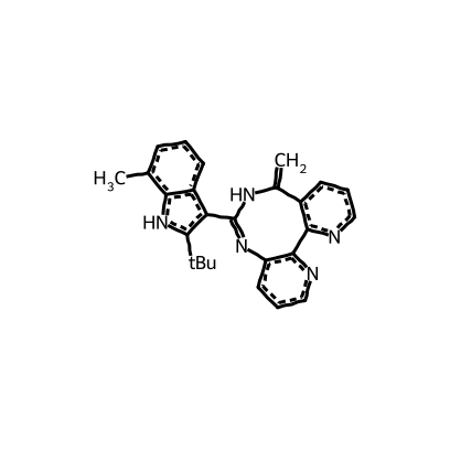 C=C1N/C(c2c(C(C)(C)C)[nH]c3c(C)cccc23)=N\c2cccnc2-c2ncccc21